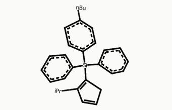 CCCCc1ccc([Si](C2=C(C(C)C)C=CC2)(c2ccccc2)c2ccccc2)cc1